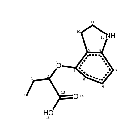 CCC(Oc1cccc2c1CCN2)C(=O)O